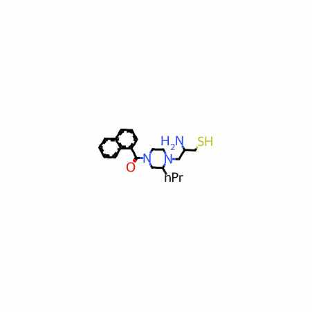 CCCC1CN(C(=O)c2cccc3ccccc23)CCN1CC(N)CS